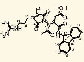 CC(=O)N(C(CC(=O)O)C(=O)NC1c2ccccc2-c2ccccc21)N1C(=O)N[C@@H](CCCNC(=N)N)C1=O